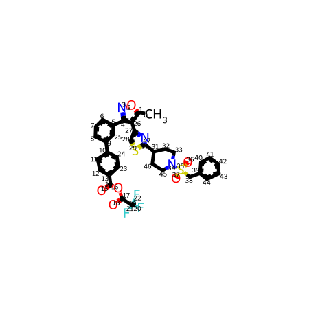 Cc1onc(-c2cccc(-c3ccc(C(=O)OC(=O)C(F)(F)F)cc3)c2)c1-c1csc(C2CCN(S(=O)(=O)Cc3ccccc3)CC2)n1